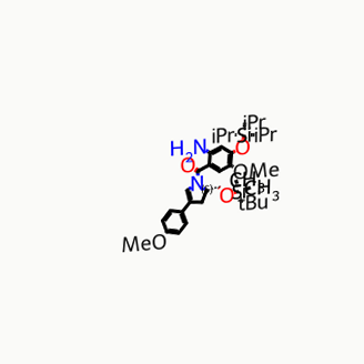 COc1ccc(C2=CN(C(=O)c3cc(OC)c(O[Si](C(C)C)(C(C)C)C(C)C)cc3N)[C@H](CO[Si](C)(C)C(C)(C)C)C2)cc1